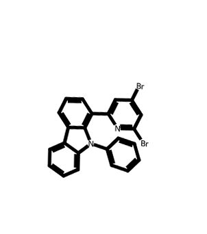 Brc1cc(Br)nc(-c2cccc3c4ccccc4n(-c4ccccc4)c23)c1